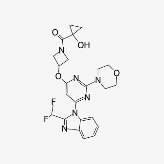 O=C(N1CC(Oc2cc(-n3c(C(F)F)nc4ccccc43)nc(N3CCOCC3)n2)C1)C1(O)CC1